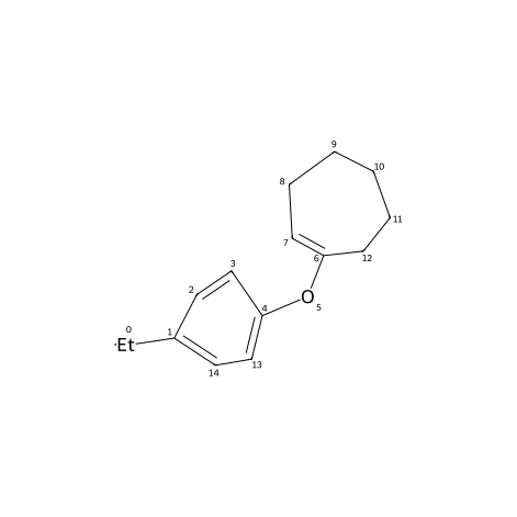 C[CH]c1ccc(OC2=CCCCCC2)cc1